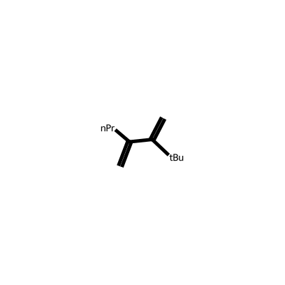 C=C(CCC)C(=C)C(C)(C)C